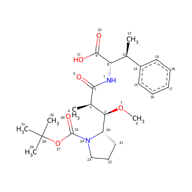 CO[C@H]([C@@H](C)C(=O)N[C@H](C(=O)O)[C@@H](C)c1ccccc1)[C@@H]1CCCN1C(=O)OC(C)(C)C